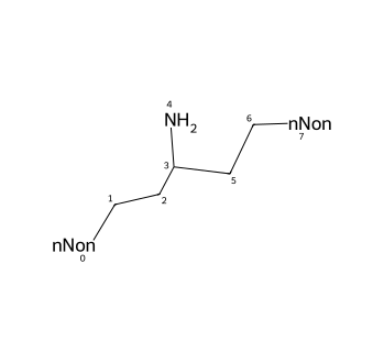 CCCCCCCCCCCC(N)CCCCCCCCCCC